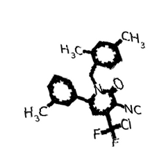 [C-]#[N+]c1c(C(F)(F)Cl)cc(-c2cccc(C)c2)n(Cc2ccc(C)cc2C)c1=O